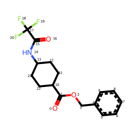 O=C(OCc1ccccc1)C1CCC(NC(=O)C(F)(F)F)CC1